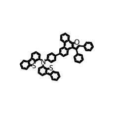 c1ccc(-c2oc3c4ccccc4c4cc(-c5ccc(N(c6cccc7c6sc6ccccc67)c6cccc7c6sc6ccccc67)cc5)ccc4c3c2-c2ccccc2)cc1